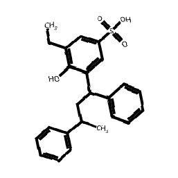 CCc1cc(S(=O)(=O)O)cc(C(CC(C)c2ccccc2)c2ccccc2)c1O